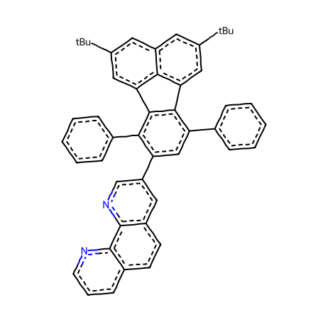 CC(C)(C)c1cc2c3c(cc(C(C)(C)C)cc3c1)-c1c(-c3ccccc3)c(-c3cnc4c(ccc5cccnc54)c3)cc(-c3ccccc3)c1-2